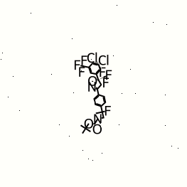 CC(C)(C)OC(=O)N1CC(F)(c2ccc(C3=NO[C@](c4cc(Cl)c(Cl)c(C(F)(F)F)c4)(C(F)(F)F)C3)cc2)C1